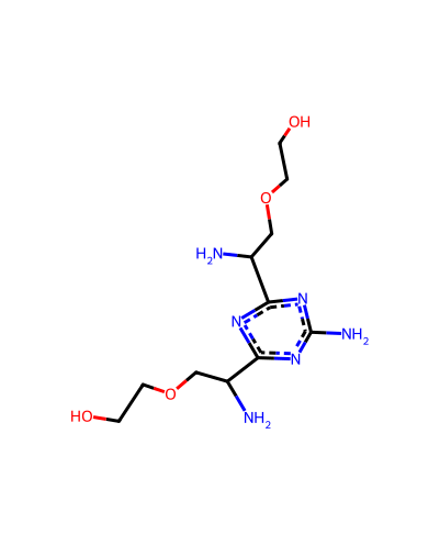 Nc1nc(C(N)COCCO)nc(C(N)COCCO)n1